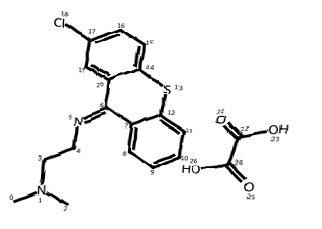 CN(C)CC/N=c1\c2ccccc2sc2ccc(Cl)cc12.O=C(O)C(=O)O